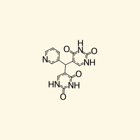 O=c1[nH]cc(C(c2cccnc2)c2c[nH]c(=O)[nH]c2=O)c(=O)[nH]1